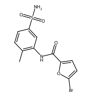 Cc1ccc(S(N)(=O)=O)cc1NC(=O)c1ccc(Br)o1